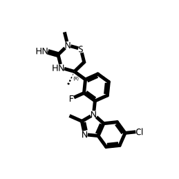 Cc1nc2ccc(Cl)cc2n1-c1cccc([C@]2(C)CSN(C)C(=N)N2)c1F